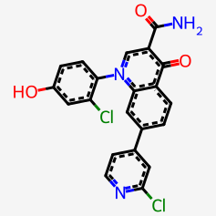 NC(=O)c1cn(-c2ccc(O)cc2Cl)c2cc(-c3ccnc(Cl)c3)ccc2c1=O